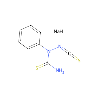 NC(=S)N(N=C=S)c1ccccc1.[NaH]